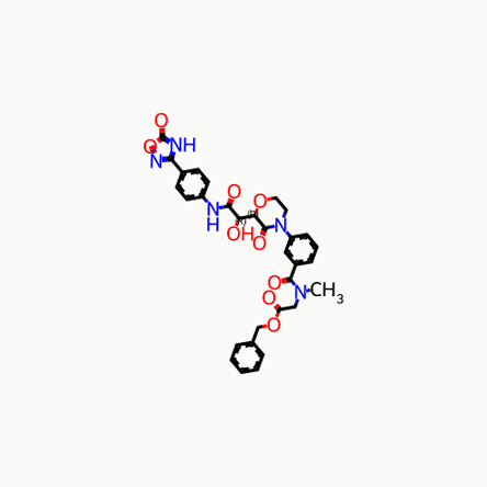 CN(CC(=O)OCc1ccccc1)C(=O)c1cccc(N2CCO[C@H]([C@@H](O)C(=O)Nc3ccc(-c4noc(=O)[nH]4)cc3)C2=O)c1